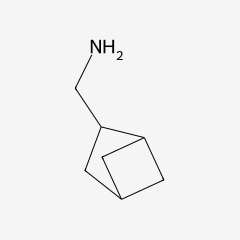 NCC1CC2CC1C2